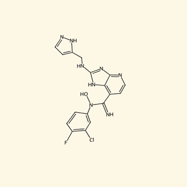 N=C(c1ccnc2nc(NCc3ccn[nH]3)[nH]c12)N(O)c1ccc(F)c(Cl)c1